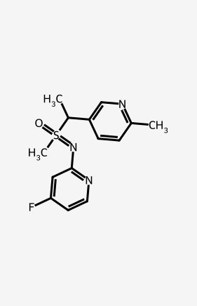 Cc1ccc(C(C)S(C)(=O)=Nc2cc(F)ccn2)cn1